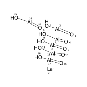 [La].[O]=[Al][OH].[O]=[Al][OH].[O]=[Al][OH].[O]=[Al][OH].[O]=[Al][OH].[O]=[Al][OH]